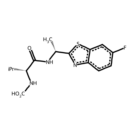 CC(C)[C@@H](NC(=O)O)C(=O)N[C@H](C)c1nc2ccc(F)cc2s1